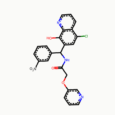 O=C(COc1cccnc1)NC(c1cccc([N+](=O)[O-])c1)c1cc(Cl)c2cccnc2c1O